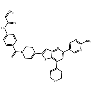 C=CC(=O)Nc1ccc(C(=O)N2CC=C(c3cc4nc(-c5cnc(N)nc5)cc(C5=CCOCC5)c4s3)CC2)cc1